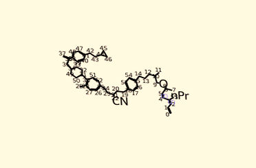 C=C/C=C(\C=C/C(C)OCC(C)CCCc1ccc(CCC(C#N)CCC2=C=CC(C)=C(C3CCC(CC(=C)c4ccc(CCC5CC5)cc4)CC3)C=C2)cc1)CCC